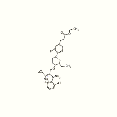 CCOC(=O)CCc1ccc(N2CCC(OC/C(=C(/N)C3CC3)N(N)c3c(Cl)cccc3Cl)C(CC)C2)c(F)c1